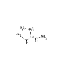 [2H]P[S+](PB)PC